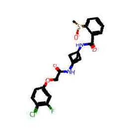 C[S+]([O-])c1ccccc1C(=O)NC12CC(NC(=O)COc3ccc(Cl)c(F)c3)(C1)C2